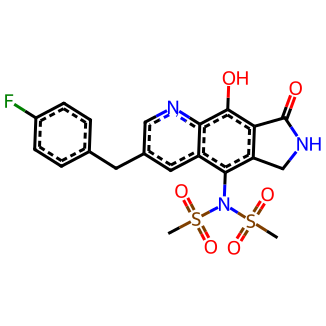 CS(=O)(=O)N(c1c2c(c(O)c3ncc(Cc4ccc(F)cc4)cc13)C(=O)NC2)S(C)(=O)=O